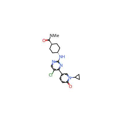 CNC(=O)[C@H]1CC[C@H](Nc2ncc(Cl)c(-c3ccc(=O)n(C4CC4)c3)n2)CC1